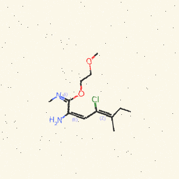 CC/C(C)=C(Cl)/C=C(N)\C(=N/C)OCCOC